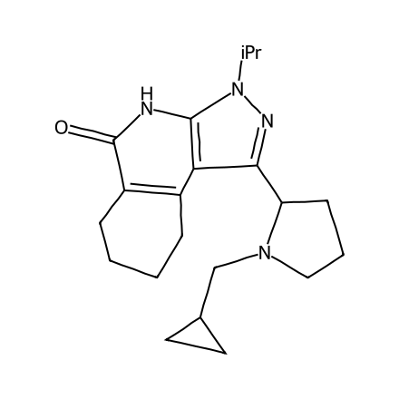 CC(C)n1nc(C2CCCN2CC2CC2)c2c3c(c(=O)[nH]c21)CCCC3